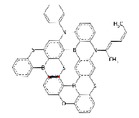 C/C=C\C=C(/C)N1c2cc3c(cc2B2c4c(cccc41)N(C1=CCCC=C1)c1cc4c5c(c12)Sc1ccccc1B5c1ccccc1S4)B1c2ccccc2Oc2cccc(c21)S3